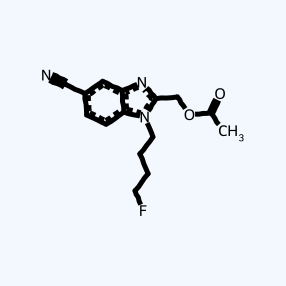 CC(=O)OCc1nc2cc(C#N)ccc2n1CCCCF